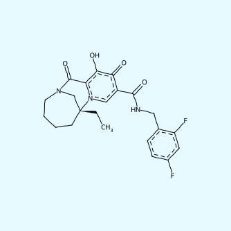 CC[C@@]12CCCCN(C1)C(=O)c1c(O)c(=O)c(C(=O)NCc3ccc(F)cc3F)cn12